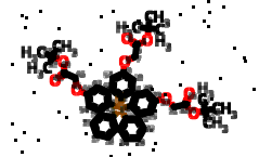 CC(C)(C)OC(=O)COc1ccc([SH](c2ccccc2)(c2ccccc2)(c2ccc(OCC(=O)OC(C)(C)C)cc2)c2ccc(OCC(=O)OC(C)(C)C)cc2)cc1